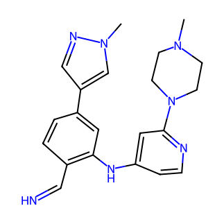 CN1CCN(c2cc(Nc3cc(-c4cnn(C)c4)ccc3C=N)ccn2)CC1